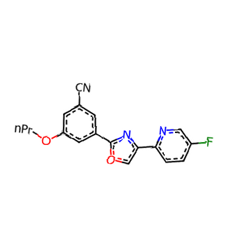 CCCOc1cc(C#N)cc(-c2nc(-c3ccc(F)cn3)co2)c1